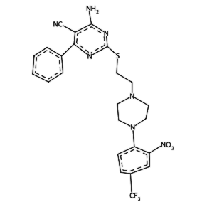 N#Cc1c(N)nc(SCCN2CCN(c3ccc(C(F)(F)F)cc3[N+](=O)[O-])CC2)nc1-c1ccccc1